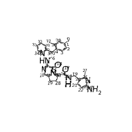 Cc1ccc([C@H](CNc2ncc3n(c2=O)[C@H](C(=O)NCc2ccc(N)nc2C)CC3)c2ccccn2)c(C)c1